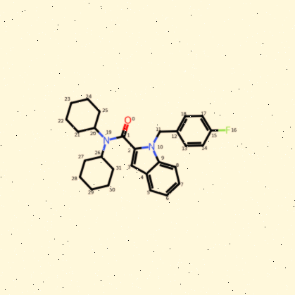 O=C(c1cc2ccccc2n1Cc1ccc(F)cc1)N(C1CCCCC1)C1CCCCC1